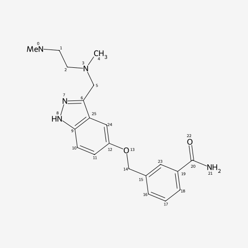 CNCCN(C)Cc1n[nH]c2ccc(OCc3cccc(C(N)=O)c3)cc12